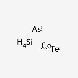 [As].[Ge].[SiH4].[Te]